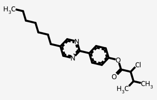 CCCCCCCc1cnc(-c2ccc(OC(=O)C(Cl)C(C)C)cc2)nc1